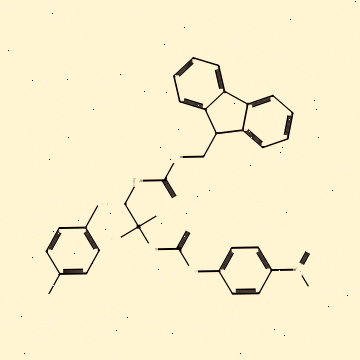 [2H]C([2H])(OC(=O)Oc1ccc([N+](=O)[O-])cc1)[C@H](Cc1ccc(Cl)cc1)NC(=O)OCC1c2ccccc2-c2ccccc21